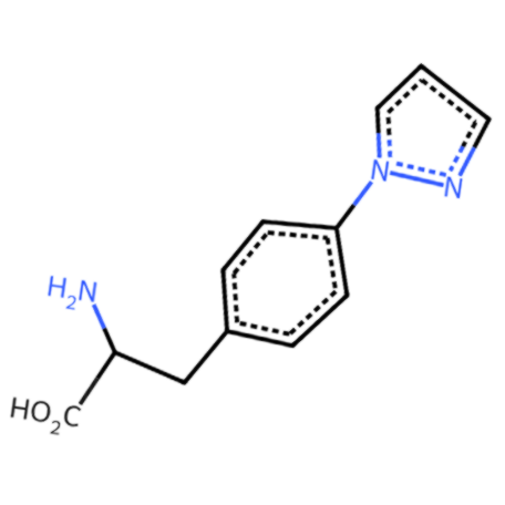 NC(Cc1ccc(-n2cccn2)cc1)C(=O)O